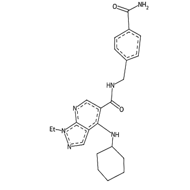 CCn1ncc2c(NC3CCCCC3)c(C(=O)NCc3ccc(C(N)=O)cc3)cnc21